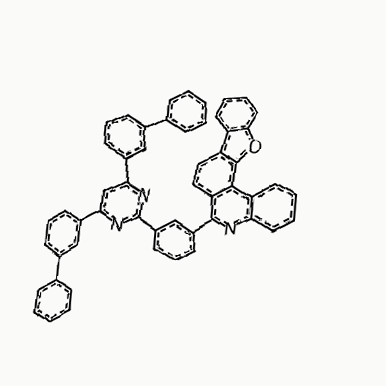 c1ccc(-c2cccc(-c3cc(-c4cccc(-c5ccccc5)c4)nc(-c4cccc(-c5nc6ccccc6c6c5ccc5c7ccccc7oc56)c4)n3)c2)cc1